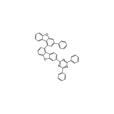 c1ccc(-c2cc(-c3cccc4oc5cc(-c6nc(-c7ccccc7)nc(-c7ccccc7)n6)ccc5c34)c3c(c2)oc2ccccc23)cc1